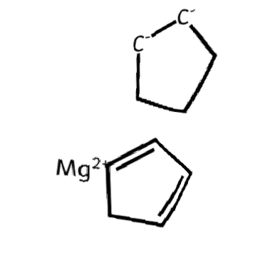 C1=CCC=C1.[CH-]1[CH-]CCC1.[Mg+2]